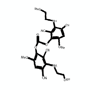 COCCNc1c(C#N)cc(OC)c(OC(=O)Oc2c(OC)cc(C#N)c(NCCOC)c2C#N)c1C#N